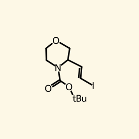 CC(C)(C)OC(=O)N1CCOCC1C=CI